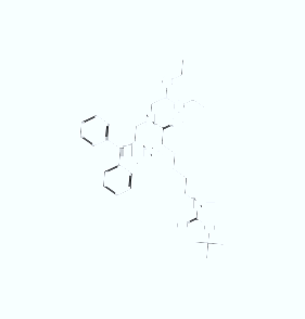 CCOC(CN(CCC(c1ccccc1)c1ccccc1)C(=O)[C@@H](N)CCCCNC(=O)OC(C)(C)C)OCC